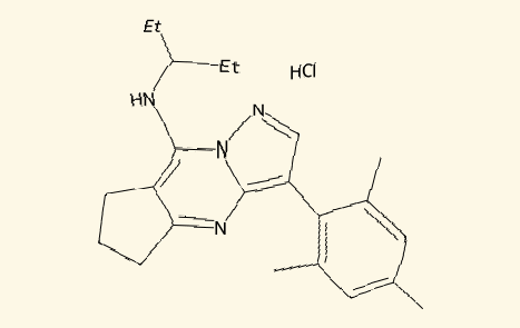 CCC(CC)Nc1c2c(nc3c(-c4c(C)cc(C)cc4C)cnn13)CCC2.Cl